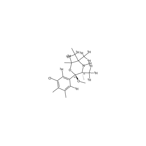 [2H]c1c(C)c(C)c(Cl)c([2H])c1[C@]1(OC)OC([2H])(C)C(C([2H])([2H])[2H])(C([2H])([2H])C)N([2H])[C@@]1(C)C([2H])([2H])[2H]